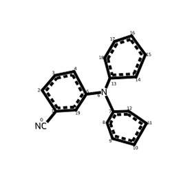 N#Cc1cccc(N(c2ccccc2)c2ccccc2)c1